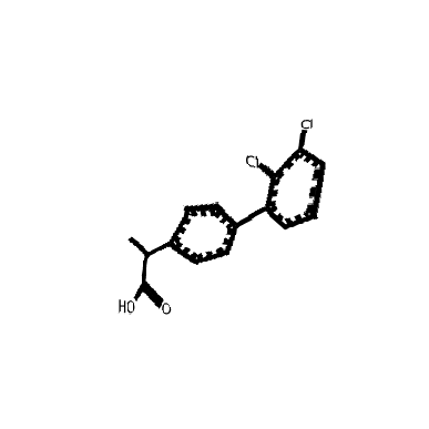 CC(C(=O)O)c1ccc(-c2cccc(Cl)c2Cl)cc1